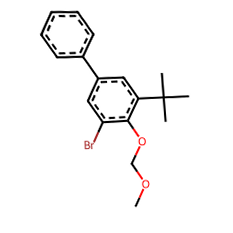 COCOc1c(Br)cc(-c2ccccc2)cc1C(C)(C)C